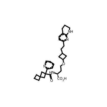 O=C(O)[C@H](CCOC1CC(CCc2ccc3c(n2)NCCC3)C1)NC(=O)C1(c2ccccn2)CC2(CCC2)C1